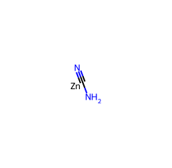 N#CN.[Zn]